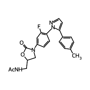 CC(=O)NCC1CN(c2ccc(-n3nccc3-c3ccc(C)cc3)c(F)c2)C(=O)O1